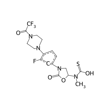 CN(C(O)=S)C1CN(c2ccc(N3CCN(C(=O)C(F)(F)F)CC3)c(F)c2)C(=O)O1